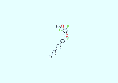 CCC1CCC(C2CCC(c3ccc(C(F)(F)Oc4cc(F)c(OC(F)(F)F)c(F)c4)cc3)CC2)CC1